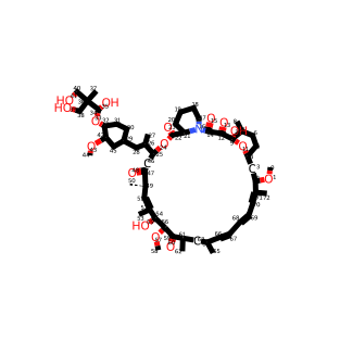 COC1CC2CCC(C)C(O)(O2)C(=O)C(=O)N2CCCCC2C(=O)OC(C(C)CC2CCC(OC(O)C(C)(CO)CO)C(OC)C2)CC(=O)[C@@H](C)/C=C(/C)C(O)C(OC)C(=O)C(C)CC(C)/C=C/C=C/C=C\1C